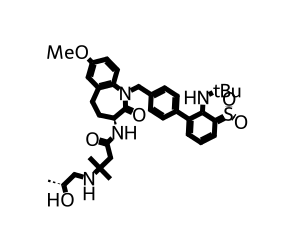 COc1ccc2c(c1)CC[C@@H](NC(=O)CC(C)(C)NC[C@@H](C)O)C(=O)N2Cc1ccc(C2=CC=CC(=S(=O)=O)C2NC(C)(C)C)cc1